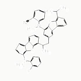 CC(C)c1cccc2c1sc1c(N(C)c3ccccc3C#N)cc(CC(C)c3cccc4c3sc3c(N(C)c5ccccc5F)cccc34)cc12